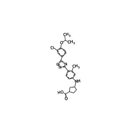 Cc1cc(NC2CCC(C(=O)O)C2)ccc1-c1noc(-c2ccc(OC(C)C)c(Cl)c2)n1